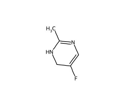 CC1=NC=C(F)CN1